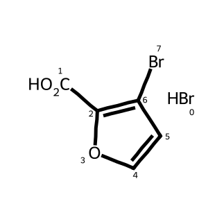 Br.O=C(O)c1occc1Br